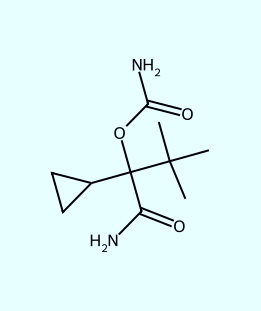 CC(C)(C)C(OC(N)=O)(C(N)=O)C1CC1